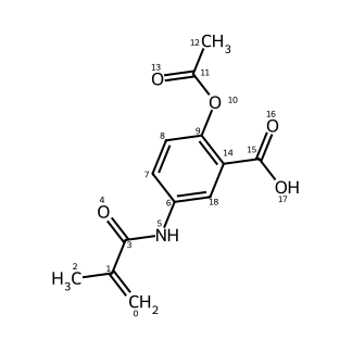 C=C(C)C(=O)Nc1ccc(OC(C)=O)c(C(=O)O)c1